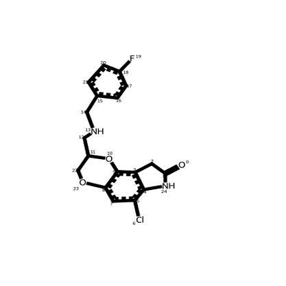 O=C1Cc2c(c(Cl)cc3c2OC(CNCc2ccc(F)cc2)CO3)N1